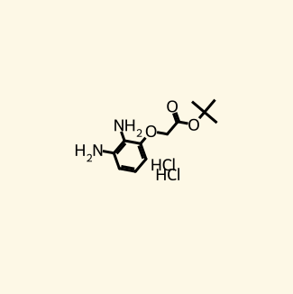 CC(C)(C)OC(=O)COc1cccc(N)c1N.Cl.Cl